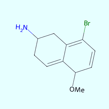 COC1C=CC(Br)=C2CC(N)CC=C21